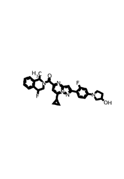 CC1c2ccccc2C(F)CN1C(=O)c1cc(C2CC2)n2nc(-c3ccc(N4CCC(O)C4)cc3F)cc2n1